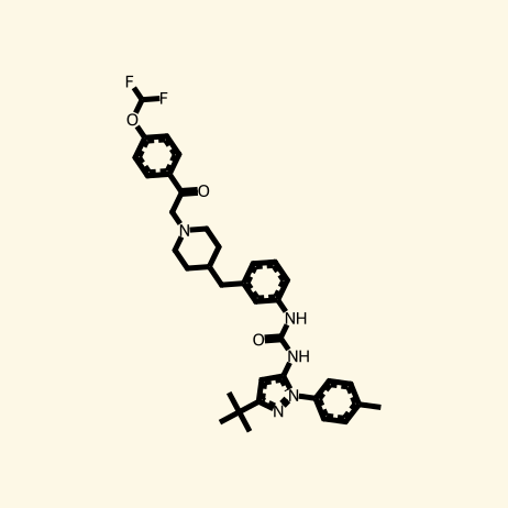 Cc1ccc(-n2nc(C(C)(C)C)cc2NC(=O)Nc2cccc(CC3CCN(CC(=O)c4ccc(OC(F)F)cc4)CC3)c2)cc1